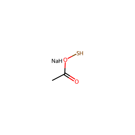 CC(=O)OS.[NaH]